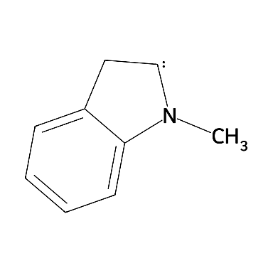 CN1[C]Cc2ccccc21